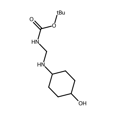 CC(C)(C)OC(=O)NCNC1CCC(O)CC1